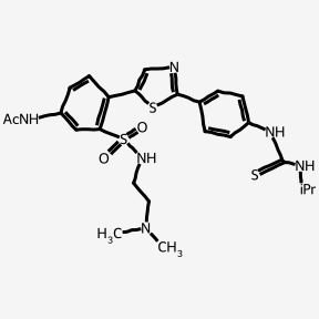 CC(=O)Nc1ccc(-c2cnc(-c3ccc(NC(=S)NC(C)C)cc3)s2)c(S(=O)(=O)NCCN(C)C)c1